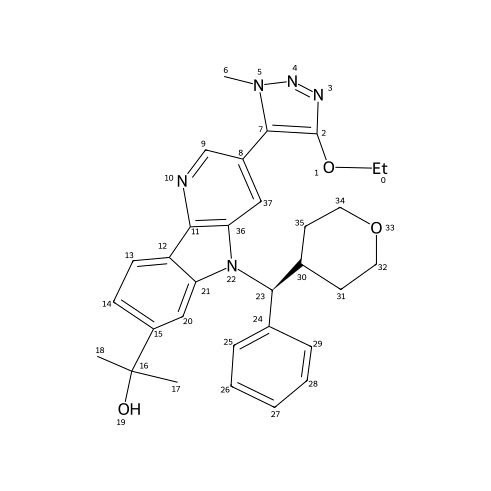 CCOc1nnn(C)c1-c1cnc2c3ccc(C(C)(C)O)cc3n([C@H](c3ccccc3)C3CCOCC3)c2c1